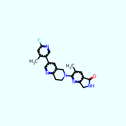 Cc1cc(F)ncc1-c1cnc2c(c1)CN(c1nc3c(cc1C)C(=O)NC3)CC2